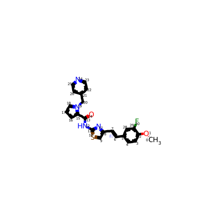 COc1ccc(/C=C/c2csc(NC(=O)c3cccn3Cc3ccncc3)n2)cc1F